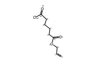 C=CCOC(=O)CCCCC(=O)Cl